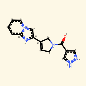 O=C(c1cn[nH]c1)N1CC=C(c2cn3ccccc3n2)C1